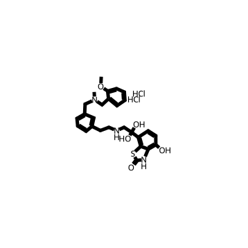 COc1ccccc1CN(C)Cc1cccc(CCNCC(O)(O)c2ccc(O)c3[nH]c(=O)sc23)c1.Cl.Cl